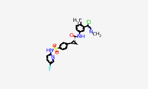 C=N/C=C(/Cl)c1cc(NC(=O)[C@@H]2CC2c2ccc(S(=O)(=O)Nc3ccc(F)cn3)cc2)ccc1C